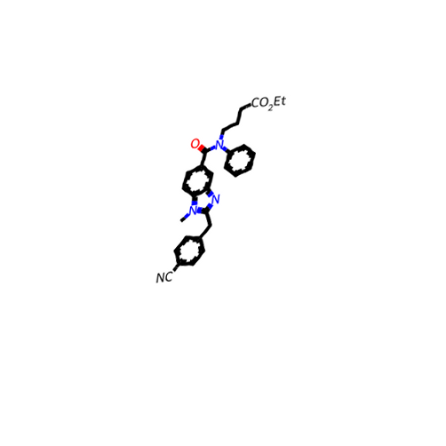 CCOC(=O)CCCN(C(=O)c1ccc2c(c1)nc(Cc1ccc(C#N)cc1)n2C)c1ccccc1